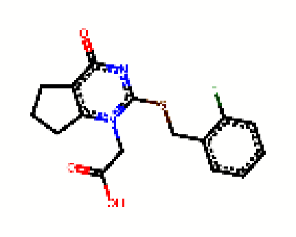 O=C(O)Cn1c(SCc2ccccc2F)nc(=O)c2c1CCC2